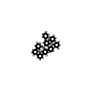 c1ccc([Si]2(c3ccccc3)c3ccccc3N(c3cc([Si](c4ccccc4)(c4ccccc4)c4ccccc4)c4oc5ccccc5c4c3)c3ccccc32)cc1